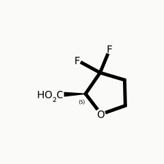 O=C(O)[C@@H]1OCCC1(F)F